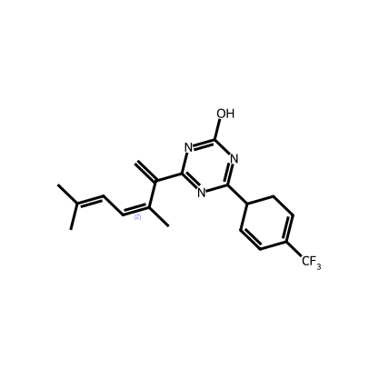 C=C(/C(C)=C\C=C(C)C)c1nc(O)nc(C2C=CC(C(F)(F)F)=CC2)n1